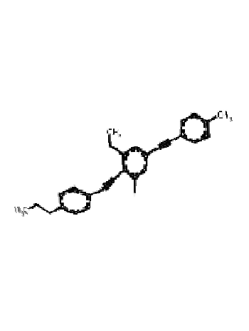 CCCc1ccc(C#Cc2c(F)cc(C#Cc3ccc(C)cc3)cc2CC)cc1